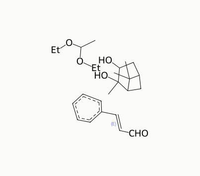 CC1(C)C2CC(O)C(C)(O)C1C2.CCOC(C)OCC.O=C/C=C/c1ccccc1